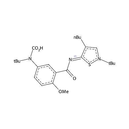 CCCCc1cn(C(C)(C)C)s/c1=N\C(=O)c1cc(N(C(=O)O)C(C)(C)C)ccc1OC